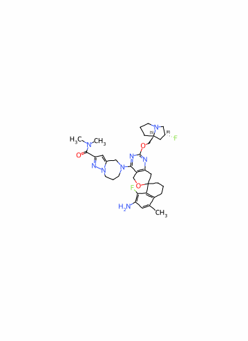 Cc1cc(N)c(F)c2c1CCCC21Cc2nc(OC[C@@]34CCCN3C[C@H](F)C4)nc(N3CCCn4nc(C(=O)N(C)C)cc4C3)c2CO1